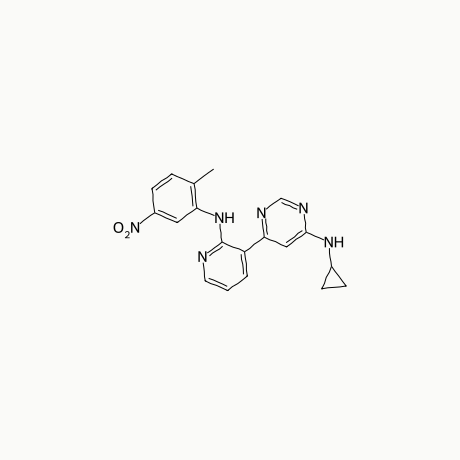 Cc1ccc([N+](=O)[O-])cc1Nc1ncccc1-c1cc(NC2CC2)ncn1